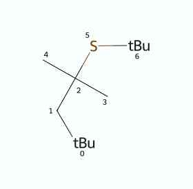 CC(C)(C)CC(C)(C)SC(C)(C)C